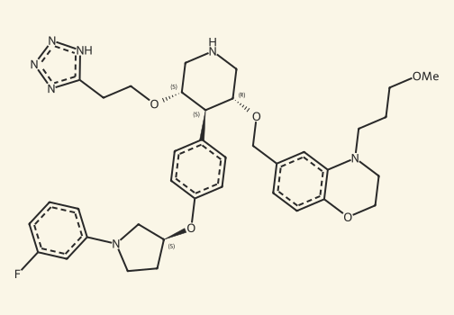 COCCCN1CCOc2ccc(CO[C@H]3CNC[C@@H](OCCc4nnn[nH]4)[C@@H]3c3ccc(O[C@H]4CCN(c5cccc(F)c5)C4)cc3)cc21